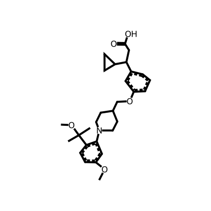 COc1ccc(C(C)(C)OC)c(N2CCC(COc3cccc(C(CC(=O)O)C4CC4)c3)CC2)c1